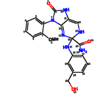 COc1ccccc1-n1c(=O)[nH]c2c1=NC(Nc1cccc(CO)c1)(C(N)=O)NC=2